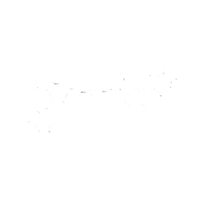 O=C1C=CC(O)(C#CC#Cc2ccc(O)c(-c3ccccc3)c2)C=C1c1ccccc1